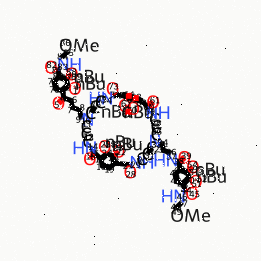 CCCCOc1c(C(=O)CCCCN2CCCNC(=O)c3ccc(c(OCCCC)c3OCCCC)C(=O)NCCCN(CCCNC(=O)c3ccc(C(=O)NCCOC)c(OCCCC)c3OCCCC)CCCNC(=O)c3ccc(c(OCCCC)c3OCCCC)C(=O)NCCC2)ccc(C(=O)NCCOC)c1OCCCC